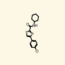 O=C(NC1CCCCC1)c1nc(-c2ccc(Cl)cc2)cs1